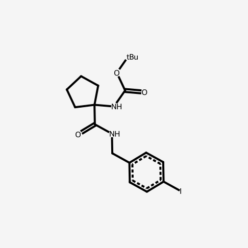 CC(C)(C)OC(=O)NC1(C(=O)NCc2ccc(I)cc2)CCCC1